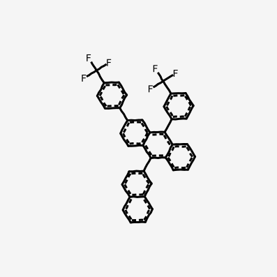 FC(F)(F)c1ccc(-c2ccc3c(-c4ccc5ccccc5c4)c4ccccc4c(-c4cccc(C(F)(F)F)c4)c3c2)cc1